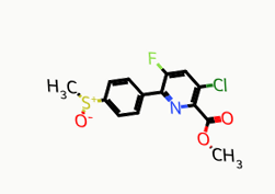 COC(=O)c1nc(-c2ccc([S+](C)[O-])cc2)c(F)cc1Cl